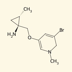 C[C@H]1C[C@@]1(N)COC1=CN(C)CC(Br)=C1